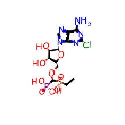 CCS(=O)(=O)[C@H](OC[C@H]1O[C@@H](n2cnc3c(N)nc(Cl)nc32)[C@H](O)[C@@H]1O)P(=O)(O)O